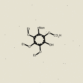 CCCCCCCCCc1c(OC(=O)O)c(O)c(OCC)c(OCC)c1OCC